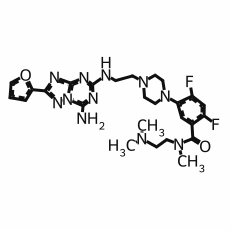 CN(C)CCN(C)C(=O)c1cc(N2CCN(CCNc3nc(N)n4nc(-c5ccco5)nc4n3)CC2)c(F)cc1F